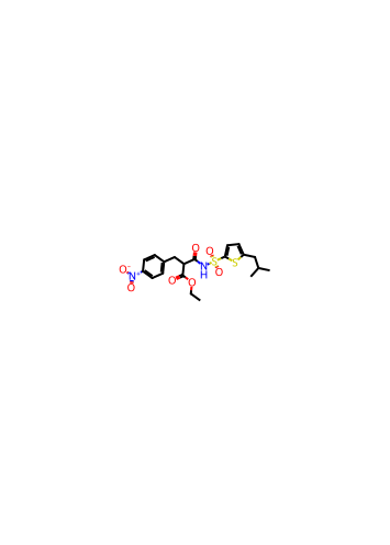 CCOC(=O)C(Cc1ccc([N+](=O)[O-])cc1)C(=O)NS(=O)(=O)c1ccc(CC(C)C)s1